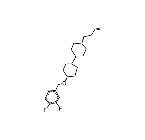 C=CCC[C@H]1CC[C@H]([C@H]2CC[C@H](OCc3ccc(F)c(F)c3)CC2)CC1